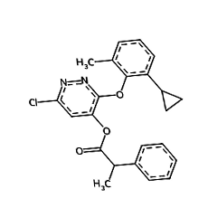 Cc1cccc(C2CC2)c1Oc1nnc(Cl)cc1OC(=O)C(C)c1ccccc1